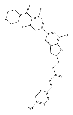 Nc1ccc(/C=C/C(=O)NCC2Cc3cc(-c4cc(F)c(C(=O)N5CCOCC5)c(F)c4)cc(Cl)c3O2)cn1